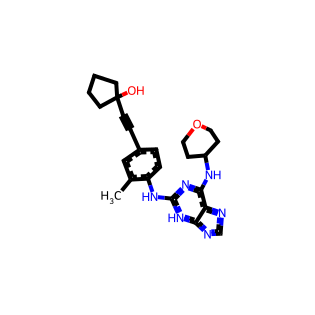 Cc1cc(C#CC2(O)CCCC2)ccc1Nc1nc(NC2CCOCC2)c2ncnc-2[nH]1